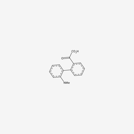 CNc1ccccc1-c1ccccc1C(=O)C(=O)O